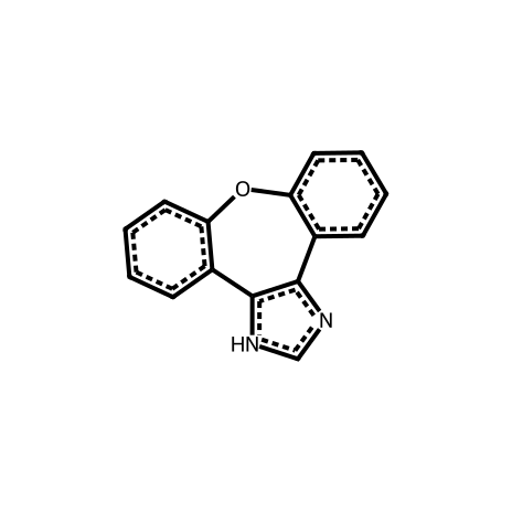 c1ccc2c(c1)Oc1ccccc1-c1[nH]cnc1-2